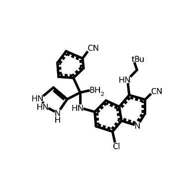 BC(Nc1cc(Cl)c2ncc(C#N)c(NCC(C)(C)C)c2c1)(C1=CNNN1)c1cccc(C#N)c1